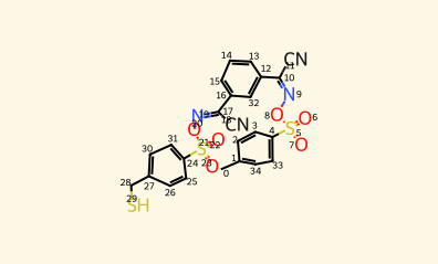 Cc1ccc(S(=O)(=O)ON=C(C#N)c2cccc(C(C#N)=NOS(=O)(=O)c3ccc(CS)cc3)c2)cc1